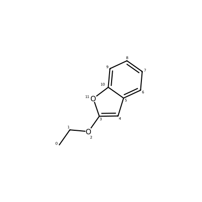 CCOc1cc2ccccc2o1